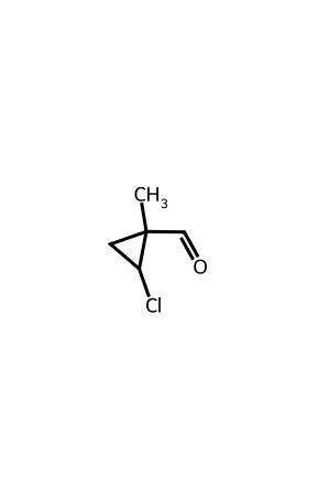 CC1(C=O)CC1Cl